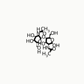 CC(=O)N[C@@H]1[C@H](O[C@H]2[C@H](O)[C@@H](NC(C)=O)C(O)O[C@@H]2CO)O[C@H](CO)[C@@H](O)[C@@H]1O